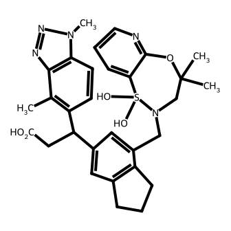 Cc1c(C(CC(=O)O)c2cc3c(c(CN4CC(C)(C)Oc5ncccc5S4(O)O)c2)CCC3)ccc2c1nnn2C